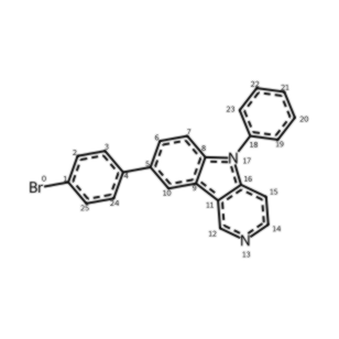 Brc1ccc(-c2ccc3c(c2)c2cnccc2n3-c2ccccc2)cc1